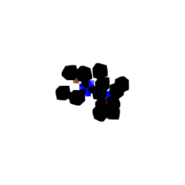 c1ccc(-c2cccc(-c3nc(-c4cc(-c5ccc6ccccc6c5)c(-n5c6cc7ccccc7cc6c6cc7ccccc7cc65)c5ccc(-c6ccccc6)cc45)nc(-c4cccc5c4sc4ccccc45)n3)c2)cc1